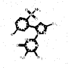 Cc1cc(-c2cc(Cl)ccc2S(N)(=O)=O)n(-c2nc(C)c(C)c(=O)[nH]2)n1